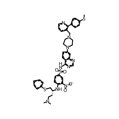 CSc1ccc(-c2ncccc2CN2CCN(c3ccc4c(NS(=O)(=O)c5ccc(N[C@H](CCN(C)C)CSc6ccccc6)c([N+](=O)[O-])c5)ncnc4c3)CC2)cc1